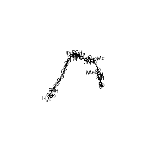 COc1cc2c(cc1OCCCCCOc1cc3c(cc1OC)C(=O)N1C=C(c4ccc5c(c4)OCO5)C[C@H]1C=N3)N=C[C@@H]1CC(c3ccc(NC(=O)[C@H](C)NC(=O)C(NC(=O)CCOCCOCCOCCOCCOCCOCCOCCOCCNC(=O)CCN4C(=O)CC(C)C4=O)C(C)C)cc3)=CN1C2=O